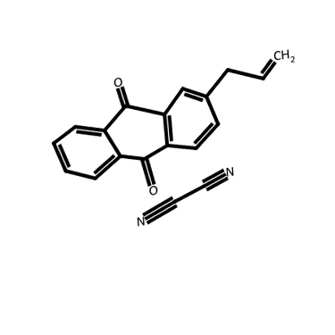 C=CCc1ccc2c(c1)C(=O)c1ccccc1C2=O.N#CC#N